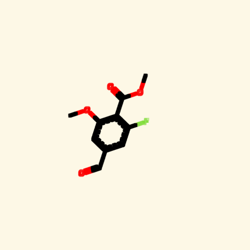 COC(=O)c1c(F)cc(C=O)cc1OC